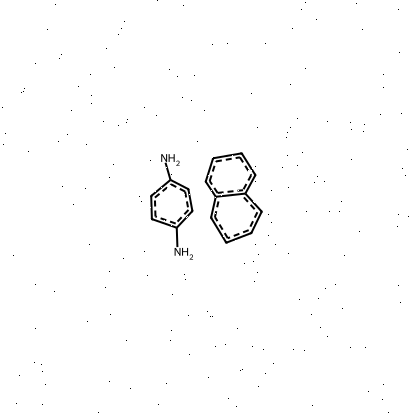 Nc1ccc(N)cc1.c1ccc2ccccc2c1